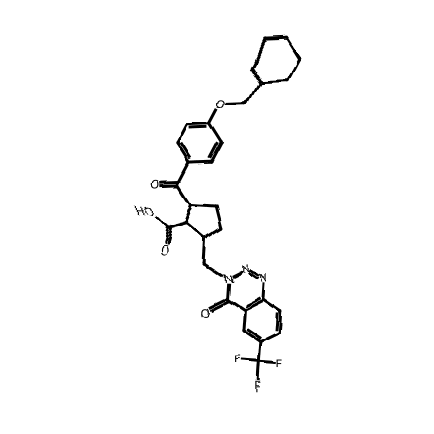 O=C(c1ccc(OCC2CCCCC2)cc1)C1CCC(Cn2nnc3ccc(C(F)(F)F)cc3c2=O)C1C(=O)O